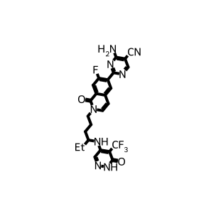 CCC(CCCn1ccc2cc(-c3ncc(C#N)c(N)n3)c(F)cc2c1=O)Nc1cn[nH]c(=O)c1C(F)(F)F